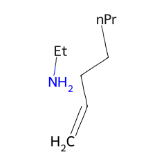 C=CCCCCC.CCN